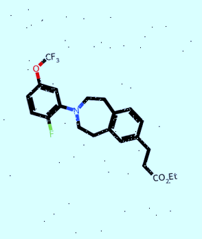 CCOC(=O)CCc1ccc2c(c1)CCN(c1cc(OC(F)(F)F)ccc1F)CC2